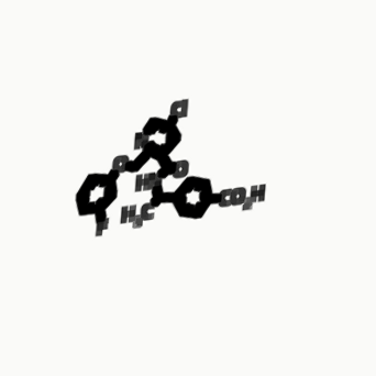 CC(NC(=O)c1cc(Cl)cnc1COc1cccc(F)c1)c1ccc(C(=O)O)cc1